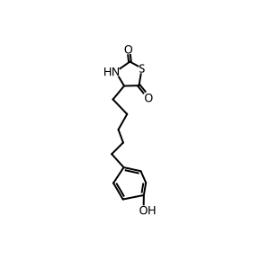 O=C1NC(CCCCCc2ccc(O)cc2)C(=O)S1